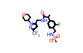 CC(C(=O)NCc1cc(C(F)(F)F)nn1C1CCOCC1)c1ccc(CNS(C)(=O)=O)c(F)c1